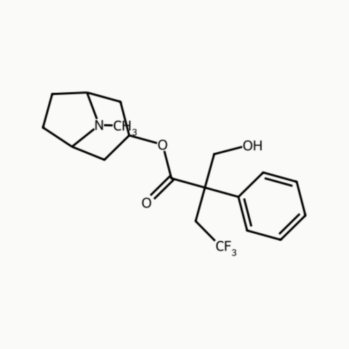 CN1C2CCC1CC(OC(=O)C(CO)(CC(F)(F)F)c1ccccc1)C2